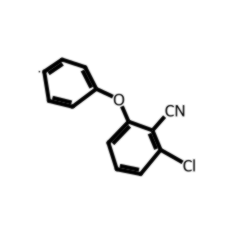 N#Cc1c(Cl)cccc1Oc1cc[c]cc1